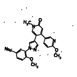 COc1ccc(-c2cc(=O)n(C)cc2-c2cnn(-c3cc(C#N)ccc3OC)c2)cn1